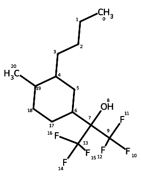 CCCCC1CC(C(O)(C(F)(F)F)C(F)(F)F)CCC1C